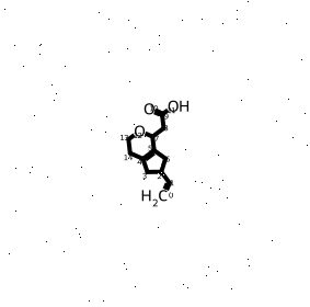 C=CC1CC2=C(C1)C(CC(=O)O)OCC2